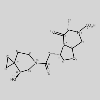 C[C@H]1C(=O)N2C(CN1C(=O)O)OC[C@@H]2CC(=O)N1CCC2(CC2)[C@H](O)C1